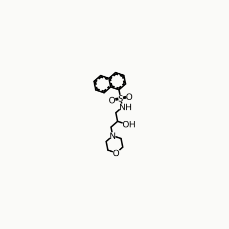 O=S(=O)(NCC(O)CN1CCOCC1)c1cccc2ccccc12